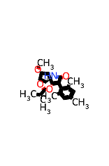 CO[C@@H]1CC[C@@]2(C1)NC(=O)C(c1c(C)cc(C)cc1C)=C2OC(=O)C(C)C